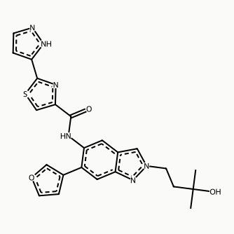 CC(C)(O)CCn1cc2cc(NC(=O)c3csc(-c4ccn[nH]4)n3)c(-c3ccoc3)cc2n1